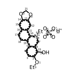 CCOc1ccc2c(c[n+](CC)c3c4cc5c(cc4ccc23)OCO5)c1O.O=S(=O)([O-])[O-].[H+]